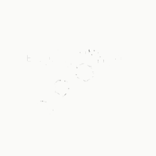 CCOC(=O)C1(COc2c(-c3ccc4c(c3)COC4=O)ccc(OC(O)O)c2OC)CC1